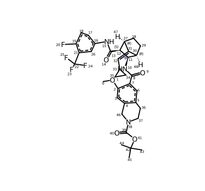 COc1cc2c(cc1C(=O)N[C@H]1[C@@H](C(=O)Nc3ccc(F)c(C(F)(F)F)c3)[C@H]3CC[C@@H]1/C3=C\C1CC1)CCN(C(=O)OC(C)(C)C)C2